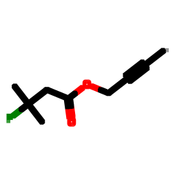 [CH2]C#CCOC(=O)CC(C)(C)F